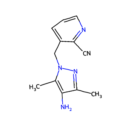 Cc1nn(Cc2cccnc2C#N)c(C)c1N